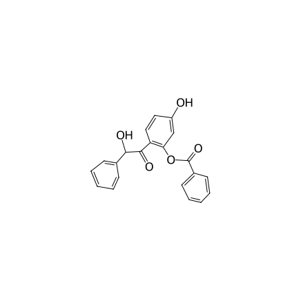 O=C(Oc1cc(O)ccc1C(=O)C(O)c1ccccc1)c1ccccc1